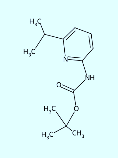 CC(C)c1cccc(NC(=O)OC(C)(C)C)n1